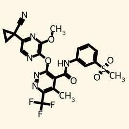 COc1nc(C2(C#N)CC2)cnc1Oc1nnc(C(F)(F)F)c(C)c1C(=O)Nc1cccc(S(C)(=O)=O)c1